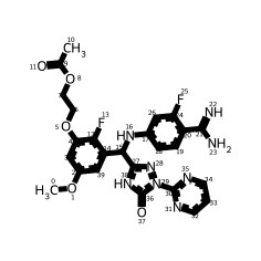 COc1cc(OCCOC(C)=O)c(F)c(C(Nc2ccc(C(=N)N)c(F)c2)c2nn(-c3ncccn3)c(=O)[nH]2)c1